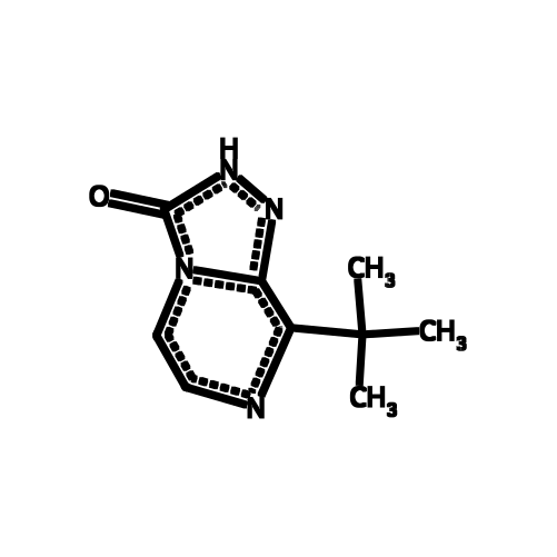 CC(C)(C)c1nccn2c(=O)[nH]nc12